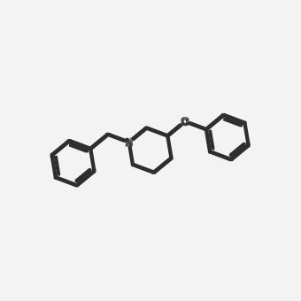 c1ccc(CN2CCCC(Oc3ccccc3)C2)cc1